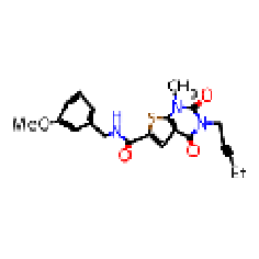 CCC#CCn1c(=O)c2cc(C(=O)NCc3cccc(OC)c3)sc2n(C)c1=O